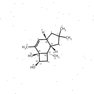 CC1=C[C@@H]2CC(C)(C)C[C@@H]2[C@@]2(C)C[C@@H](O)[C@]12O